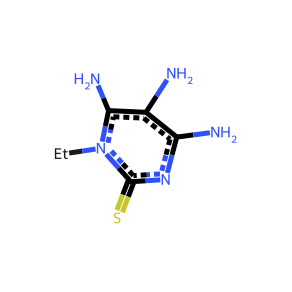 CCn1c(N)c(N)c(N)nc1=S